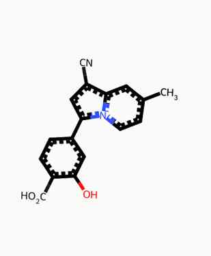 Cc1ccn2c(-c3ccc(C(=O)O)c(O)c3)cc(C#N)c2c1